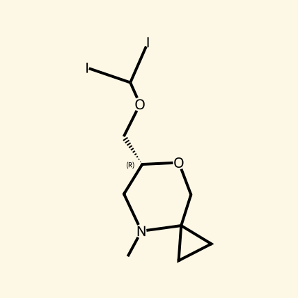 CN1C[C@H](COC(I)I)OCC12CC2